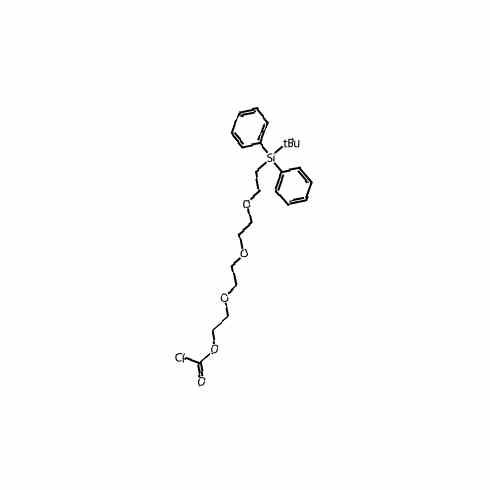 CC(C)(C)[Si](CCOCCOCCOCCOC(=O)Cl)(c1ccccc1)c1ccccc1